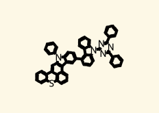 c1ccc(-c2nc(-c3ccccc3)nc(-n3c4ccccc4c4c(-c5ccc6c(c5)c5c7cccc8c7c(cc5n6-c5ccccc5)-c5ccccc5S8)cccc43)n2)cc1